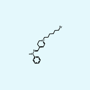 CN(/N=C/C1=CC=[N+](CCCCCCBr)CC1)c1ccccc1